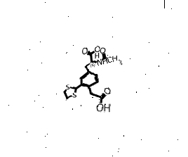 CC(=O)N[C@@H](Cc1ccc(CC(=O)O)c(C2SCCS2)c1)C(=O)O